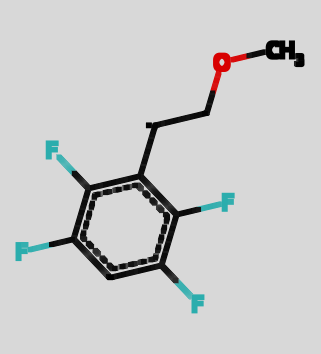 COC[CH]c1c(F)c(F)cc(F)c1F